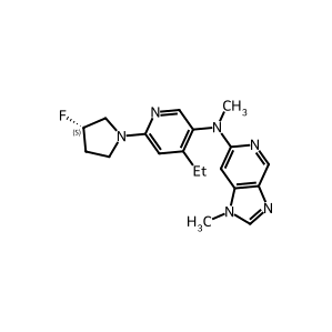 CCc1cc(N2CC[C@H](F)C2)ncc1N(C)c1cc2c(cn1)ncn2C